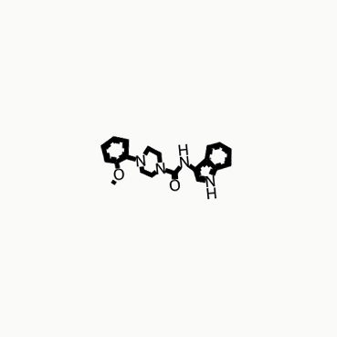 COc1ccccc1N1CCN(C(=O)Nc2c[nH]c3ccccc23)CC1